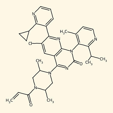 C=CC(=O)N1CC(C)N(c2nc(=O)n(-c3c(C)ccnc3C(C)C)c3nc(-c4cccnc4C4CC4)c(Cl)cc23)CC1C